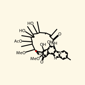 COc1c(C)c(O)c2c(O)c3c4c(nc5cc(C)ccn54)c2c1C(=O)O/C=C/C(OC)C(C)C(OC(C)=O)C(C)C(O)C(C)C(O)C(C)/C=C/C=C(/C)C(=O)N3